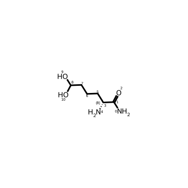 NC(=O)[C@H](N)CCCC(O)O